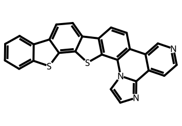 c1ccc2c(c1)sc1c2ccc2c3ccc4c5cnccc5c5nccn5c4c3sc21